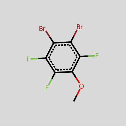 COc1c(F)c(F)c(Br)c(Br)c1F